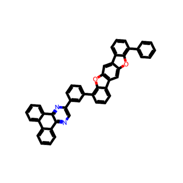 c1ccc(-c2cccc3c2oc2cc4c(cc23)oc2c(-c3cccc(-c5cnc6c7ccccc7c7ccccc7c6n5)c3)cccc24)cc1